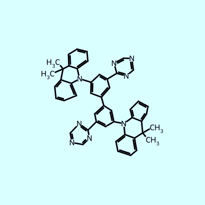 CC1(C)c2ccccc2N(c2cc(-c3cc(-c4ncncn4)cc(N4c5ccccc5C(C)(C)c5ccccc54)c3)cc(-c3ncncn3)c2)c2ccccc21